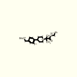 COCc1ccc(C2CCN(C(C)(C)C(=O)NCC(C)C)CC2)c(F)c1